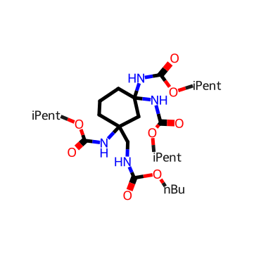 CCCCOC(=O)NCC1(NC(=O)OC(C)CCC)CCCC(NC(=O)OC(C)CCC)(NC(=O)OC(C)CCC)C1